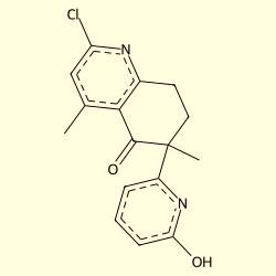 Cc1cc(Cl)nc2c1C(=O)C(C)(c1cccc(O)n1)CC2